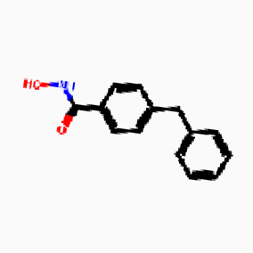 O=C(NO)c1ccc(Cc2ccccc2)cc1